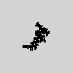 Cc1[nH]c2c(-c3cc(C(F)F)ccc3OCC3CC3)ncnc2c1C(=O)N[C@H]1CC[C@H](NC(=O)O)[C@H](F)C1